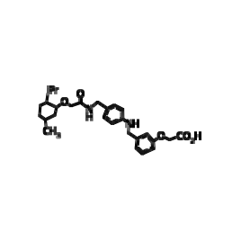 CC1CCC(C(C)C)C(OCC(=O)NCc2ccc(NCc3cccc(OCC(=O)O)c3)cc2)C1